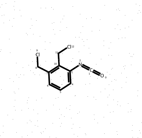 O=C=Nc1cccc(CCl)c1CCl